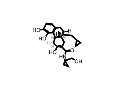 C[C@H]1C(O)=C(C(=O)NC2(CO)CC2)C[C@@]2(O)[C@H]3Cc4ccc(O)c(O)c4[C@@]12CCN3CC1CC1